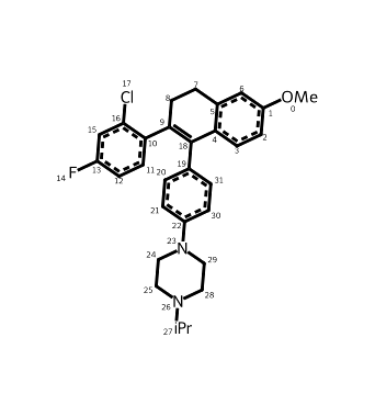 COc1ccc2c(c1)CCC(c1ccc(F)cc1Cl)=C2c1ccc(N2CCN(C(C)C)CC2)cc1